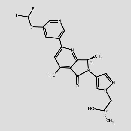 Cc1cc(-c2cncc(OC(F)F)c2)nc2c1C(=O)N(c1cnn(C[C@H](C)O)c1)[C@@H]2C